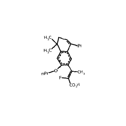 CCCOc1cc2c(cc1C(C)=C(F)C(=O)O)C(C(C)C)=CCC2(C)C